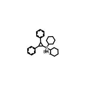 B[PH](C1CCCCC1)(C1CCCCC1)C1C(c2ccccc2)C1c1ccccc1